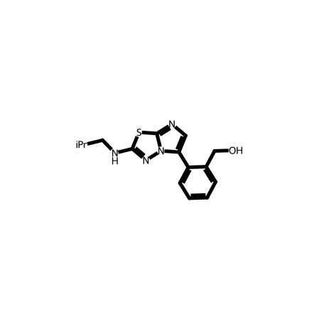 CC(C)CNc1nn2c(-c3ccccc3CO)cnc2s1